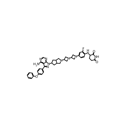 Nc1ncnc2c1c(-c1ccc(Oc3ccccc3)cc1)nn2C1CC2CN(C3CN(C4CN(c5ccc(NC6CCC(=O)NC6=O)c(F)c5)C4)C3)CC2C1